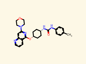 Cc1ccc(NC(=O)N[C@H]2CC[C@@H](Oc3nc(N4CCOCC4)cc4ncccc34)CC2)cc1